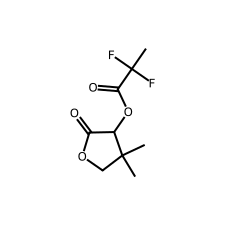 CC(F)(F)C(=O)OC1C(=O)OCC1(C)C